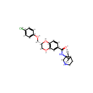 O=C(N[C@H]1CN2CCC1CC2)c1ccc2c(c1)OC[C@H](COc1ccc(Cl)cc1)O2